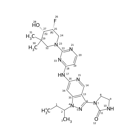 CCC(C)n1nc(N2CCNC2=O)c2cnc(Nc3ccnc(N4C[C@@H](F)[C@@H](O)C(C)(C)C4)n3)cc21